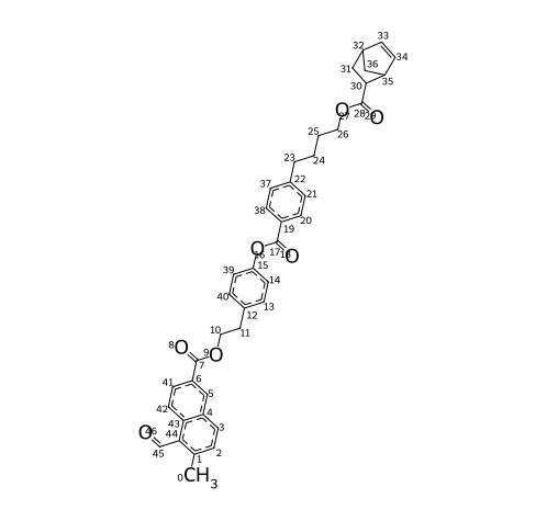 Cc1ccc2cc(C(=O)OCCc3ccc(OC(=O)c4ccc(CCCCOC(=O)C5CC6C=CC5C6)cc4)cc3)ccc2c1C=O